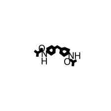 CC(C)C(=O)Nc1ccc(Cc2ccc(NC(=O)C(C)C)cc2)cc1